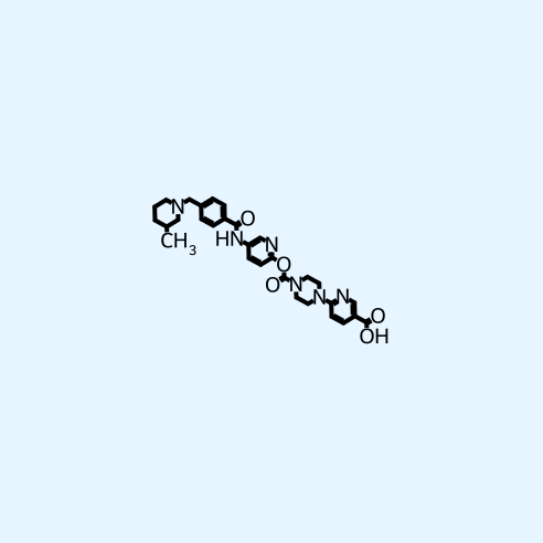 CC1CCCN(Cc2ccc(C(=O)Nc3ccc(OC(=O)N4CCN(c5ccc(C(=O)O)cn5)CC4)nc3)cc2)C1